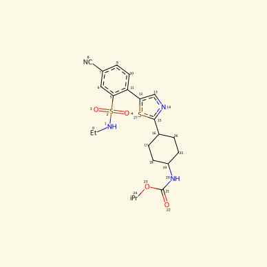 CCNS(=O)(=O)c1cc(C#N)ccc1-c1cnc(C2CCC(NC(=O)OC(C)C)CC2)s1